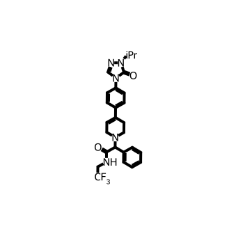 CC(C)n1ncn(-c2ccc(C3=CCN(C(C(=O)NCC(F)(F)F)c4ccccc4)CC3)cc2)c1=O